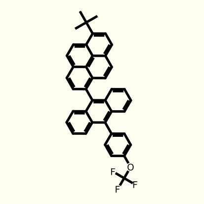 CC(C)(C)c1ccc2ccc3c(-c4c5ccccc5c(-c5ccc(OC(F)(F)F)cc5)c5ccccc45)ccc4ccc1c2c43